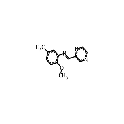 COc1ccc(C)cc1N=Cc1cnccn1